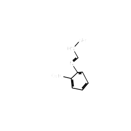 CCCN/C=N/c1ccccc1C=O